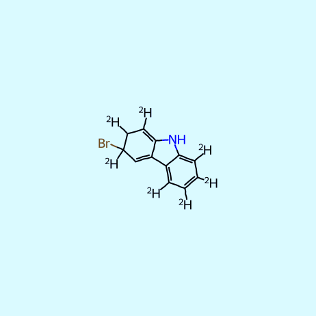 [2H]C1=c2[nH]c3c([2H])c([2H])c([2H])c([2H])c3c2=CC([2H])(Br)C1[2H]